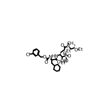 CCOCCN(C)C(=O)CC[C@H](NC(=O)/C(CC1CCCCC1)=N/C(=O)OCc1cccc(Cl)c1)C(O)P(=O)(OCC)OCC